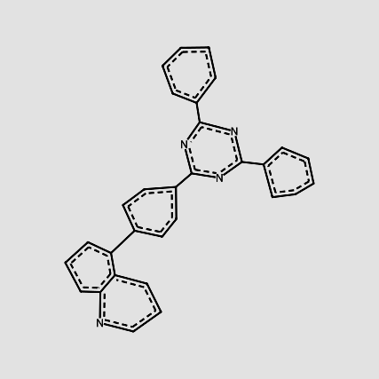 c1ccc(-c2nc(-c3ccccc3)nc(-c3ccc(-c4cccc5ncccc45)cc3)n2)cc1